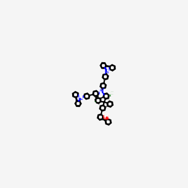 Fc1ccc2c(c1)C(c1ccccc1)(c1ccc(-c3cccc4c3oc3ccccc34)cc1)c1cc(F)cc(N(c3ccc(-c4ccc(-n5c6ccccc6c6ccccc65)cc4)cc3)c3ccc(-c4ccc(-n5c6ccccc6c6ccccc65)cc4)cc3)c1-2